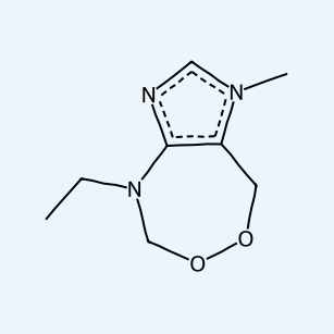 CCN1COOCc2c1ncn2C